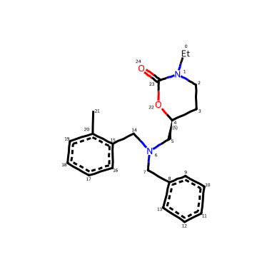 CCN1CC[C@@H](CN(Cc2ccccc2)Cc2ccccc2C)OC1=O